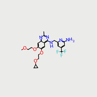 COCCOc1cc2nc(C)nc(NCc3cc(C(F)(F)F)cc(N)n3)c2cc1OCCOC1CC1